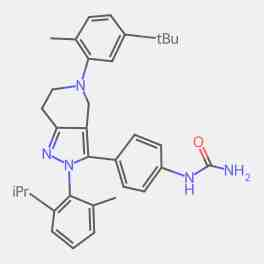 Cc1ccc(C(C)(C)C)cc1N1CCc2nn(-c3c(C)cccc3C(C)C)c(-c3ccc(NC(N)=O)cc3)c2C1